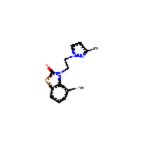 COc1cccc2sc(=O)n(CCn3ccc(C(F)(F)F)n3)c12